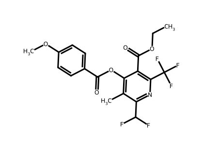 CCOC(=O)c1c(C(F)(F)F)nc(C(F)F)c(C)c1OC(=O)c1ccc(OC)cc1